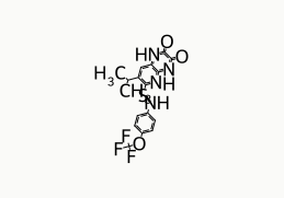 CC(C)c1cc2[nH]c(=O)c(=O)[nH]c2nc1SNc1ccc(OC(F)(F)F)cc1